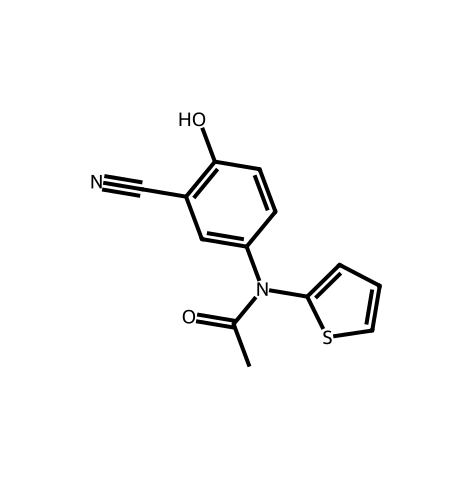 CC(=O)N(c1ccc(O)c(C#N)c1)c1cccs1